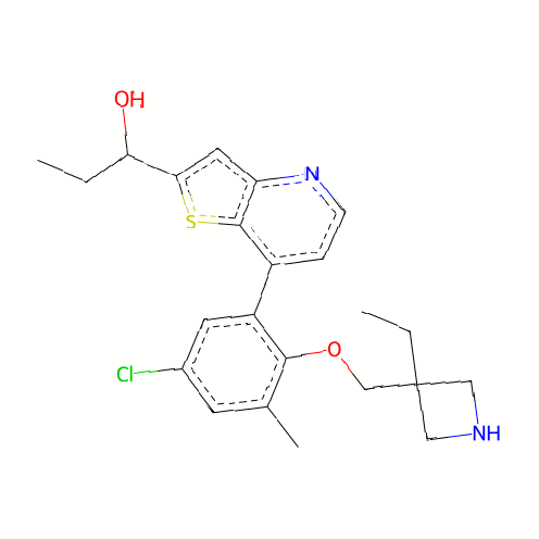 CCC(O)c1cc2nccc(-c3cc(Cl)cc(C)c3OCC3(CC)CNC3)c2s1